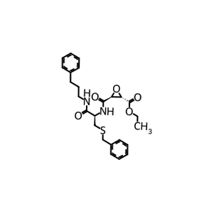 CCOC(=O)[C@H]1O[C@@H]1C(=O)N[C@@H](CSCc1ccccc1)C(=O)NCCCc1ccccc1